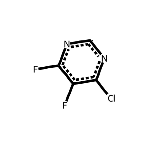 Fc1n[c]nc(Cl)c1F